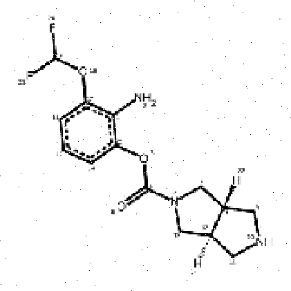 Nc1c(OC(=O)N2C[C@@H]3CNC[C@H]3C2)cccc1OC(F)F